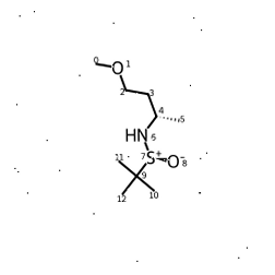 COCC[C@H](C)N[S@@+]([O-])C(C)(C)C